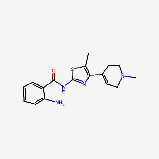 Cc1sc(NC(=O)c2ccccc2N)nc1C1=CCN(C)CC1